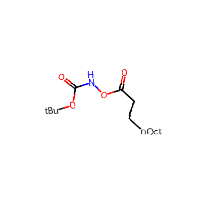 CCCCCCCCCCC(=O)ONC(=O)OC(C)(C)C